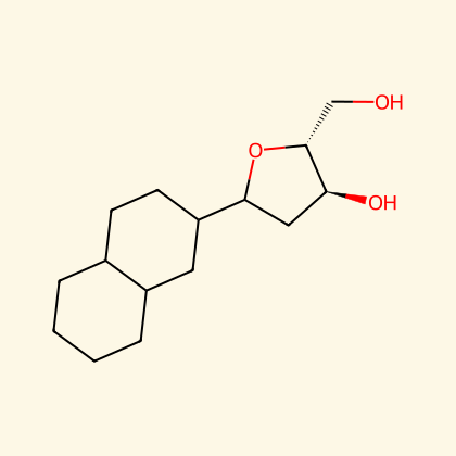 OC[C@H]1OC(C2CCC3CCCCC3C2)C[C@@H]1O